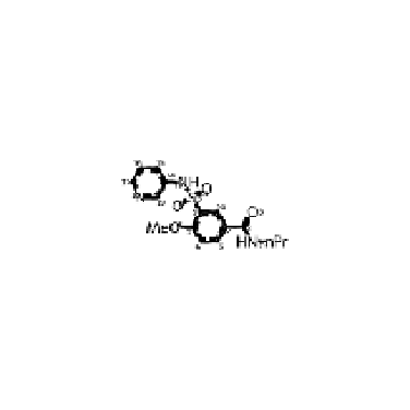 CCCNC(=O)c1ccc(OC)c(S(=O)(=O)Nc2cccnc2)c1